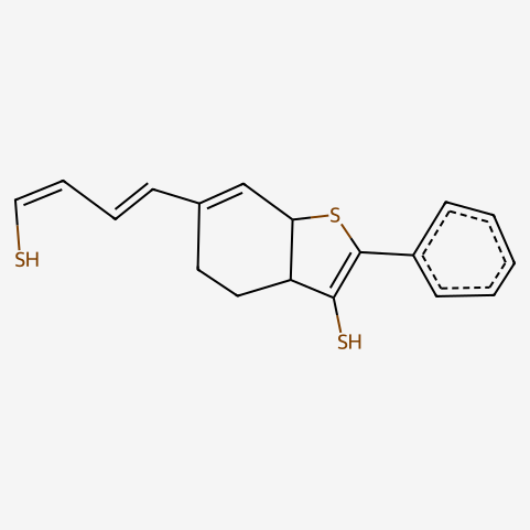 S/C=C\C=C\C1=CC2SC(c3ccccc3)=C(S)C2CC1